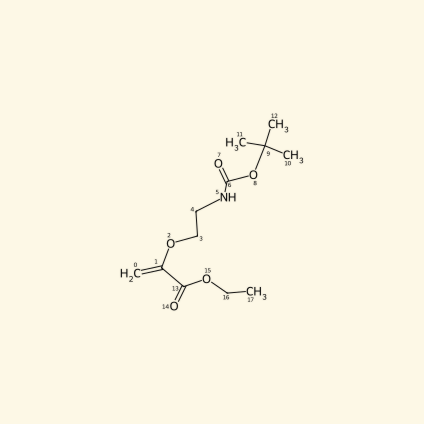 C=C(OCCNC(=O)OC(C)(C)C)C(=O)OCC